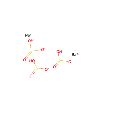 O=S([O-])O.O=S([O-])O.O=S([O-])O.[Ba+2].[Na+]